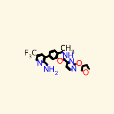 C[C@@H](NC(=O)c1ccnc(OC2CCOC2)n1)c1ccc(-c2cc(C(F)(F)F)cnc2CN)cc1